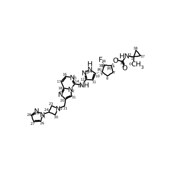 CC1(NC(=O)O[C@@H]2CC[C@H](c3cc(Nc4nccc5nc(CN6CC(n7cccn7)C6)cn45)n[nH]3)[C@@H]2F)CC1